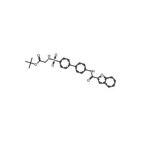 CC(C)(C)OC(=O)CNS(=O)(=O)c1ccc(-c2ccc(NC(=O)c3cc4ccccc4o3)cc2)cc1